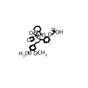 COc1ccc(CC[C@@H](OC(=O)[C@@H]2CCCCN2S(=O)(=O)c2ccoc2)c2cccc(OCC(=O)O)c2)cc1OC